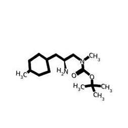 CC1CCC(C[C@H](N)CN(C)C(=O)OC(C)(C)C)CC1